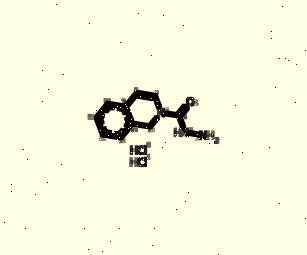 Cl.Cl.NNC(=O)N1C=Cc2ccccc2C1